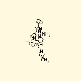 CN1CCN(CCNC(=O)C(C)(c2ccccc2)n2ncc3c2nc(N)n2nc(-c4ccco4)nc32)CC1